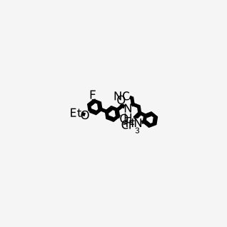 CCOc1cc(F)cc(-c2ccc(OC(F)(F)F)c(C(=O)NC(CC#N)Cc3c[nH]c4ccccc34)c2)c1